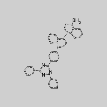 Bc1ccc(-c2ccc(-c3ccc(-c4nc(-c5ccccc5)nc(-c5ccccc5)n4)cc3)c3ccccc23)c2ccccc12